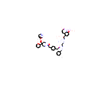 O=C(Cc1ccc(CC(=O)N(CCCNC[C@H](O)c2ccc(O)c3[nH]c(=O)ccc23)Cc2cccc(C(F)(F)F)c2)cc1)N1CCC(C(=O)O[C@H]2CN3CCC2CC3)(c2ccccc2)CC1